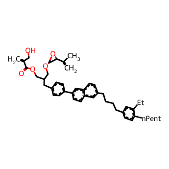 C=C(CO)C(=O)OCC(COC1OC1C(=C)C)Cc1ccc(-c2ccc3cc(CCCCc4ccc(CCCCC)c(CC)c4)ccc3c2)cc1